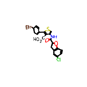 O=C(O)c1c(NC(=O)C2Cc3cc(Cl)ccc3O2)csc1-c1ccc(Br)cc1